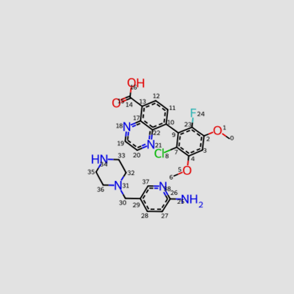 COc1cc(OC)c(Cl)c(-c2ccc(C(=O)O)c3nccnc23)c1F.Nc1ccc(CN2CCNCC2)cn1